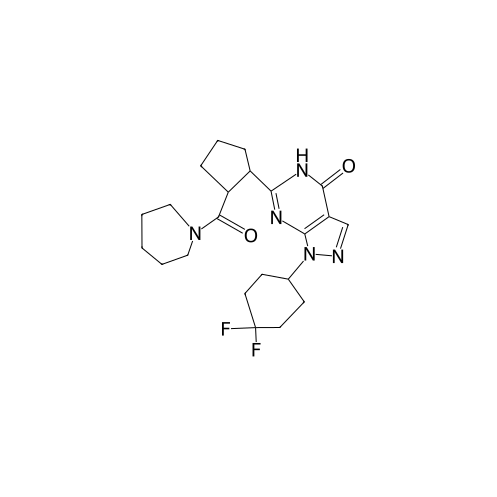 O=C(C1CCCC1c1nc2c(cnn2C2CCC(F)(F)CC2)c(=O)[nH]1)N1CCCCC1